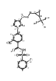 O=C(NS(=O)(=O)c1ccccc1Cl)c1ccc(-n2ccc(OCCC3CC3C(F)(F)F)n2)nc1Cl